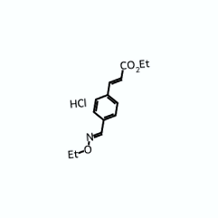 CCON=Cc1ccc(C=CC(=O)OCC)cc1.Cl